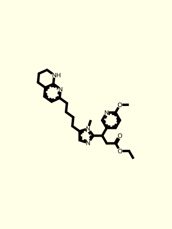 CCOC(=O)CC(c1ccc(OC)nc1)c1ncc(CCCCc2ccc3c(n2)NCCC3)n1C